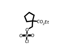 CCOC(=O)C1(COS(=O)(=O)Cl)CCCC1